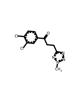 Cn1nnc(CCC(=O)c2ccc(Cl)c(Cl)c2)n1